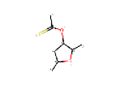 CC(=S)OC1CC(C)OC1C